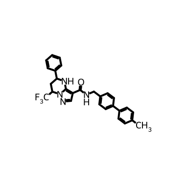 Cc1ccc(-c2ccc(CNC(=O)c3cnn4c3NC(c3ccccc3)CC4C(F)(F)F)cc2)cc1